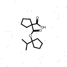 CC(C)C1(OC(=O)C2(C(=O)O)CCCC2)CCCC1